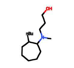 CCCCC1CCCCCC1N(C)CCCO